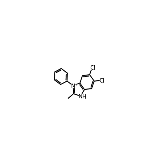 Cc1[nH]c2cc(Cl)c(Cl)cc2[n+]1-c1ccccc1